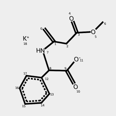 C=C(CC(=O)OC)NC(C(=O)[O-])c1ccccc1.[K+]